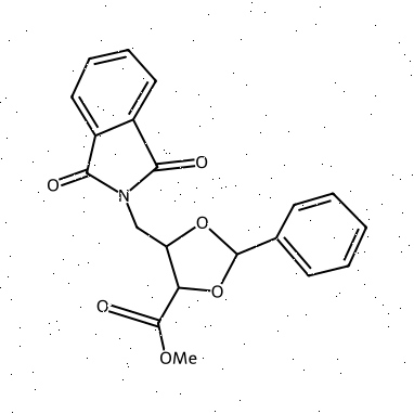 COC(=O)C1OC(c2ccccc2)OC1CN1C(=O)c2ccccc2C1=O